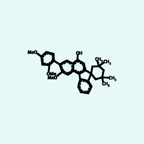 COc1ccc(-c2cc3c(O)cc4c(c3cc2OC)-c2ccccc2C42CC(C)(C)CC(C)(C)C2)c(OC)c1